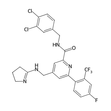 O=C(NCc1ccc(Cl)c(Cl)c1)c1cc(CNC2=NCCC2)cc(-c2ccc(F)cc2C(F)(F)F)n1